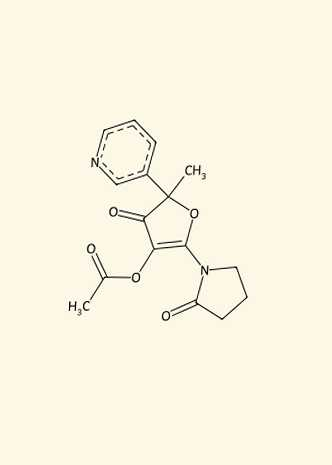 CC(=O)OC1=C(N2CCCC2=O)OC(C)(c2cccnc2)C1=O